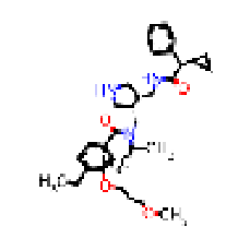 CCc1ccc(C(=O)N(C[C@@H]2CNC[C@H]2CNC(=O)C(c2ccccc2)C2CC2)C(C)C)cc1OCCCOC